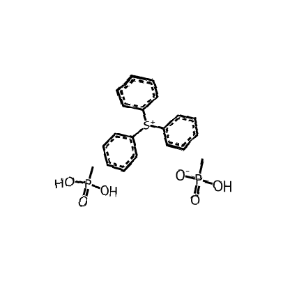 CP(=O)(O)O.CP(=O)([O-])O.c1ccc([S+](c2ccccc2)c2ccccc2)cc1